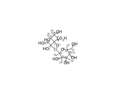 CC(O)(CO)C(C)(OCC1(C)OC(C)(CO)C(C)(O)C(C)(O)C1(C)O)C(C)(O)C(C)(O)C(=O)O